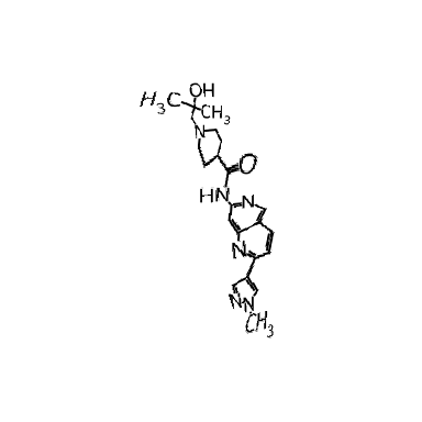 Cn1cc(-c2ccc3cnc(NC(=O)C4CCN(CC(C)(C)O)CC4)cc3n2)cn1